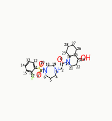 O=C(CN1CCCN(S(=O)(=O)c2ccccc2F)CC1)N1CCC(O)C2CCCCC21